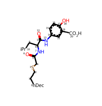 CCCCCCCCCCCCSCC(=O)NC(CC(C)C)C(=O)Nc1ccc(O)c(C(=O)O)c1